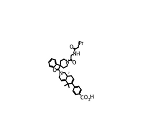 CC(C)CC(=O)NCC(=O)N1CCC(C(=O)N2CC=C3C(C)(C)C(c4ccc(C(=O)O)cc4)=CC[C@]3(C)C2)(c2ccccc2)CC1